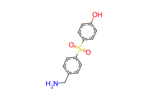 NCc1ccc(S(=O)(=O)c2ccc(O)cc2)cc1